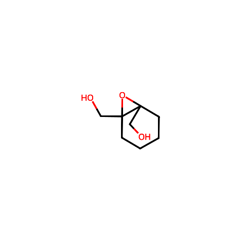 OCC12CCCCC1(CO)O2